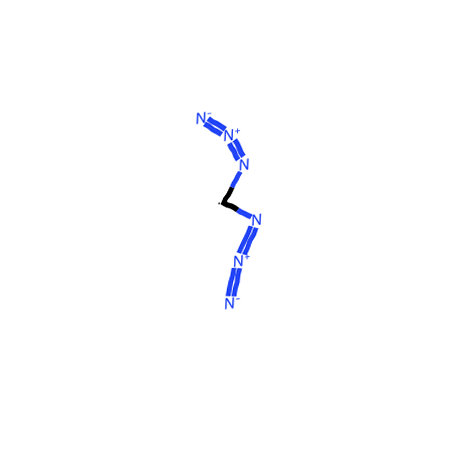 [N-]=[N+]=N[CH]N=[N+]=[N-]